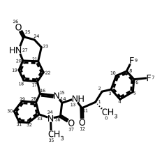 C[C@@H](Cc1ccc(F)c(F)c1)C(=O)NC1N=C(c2ccc3c(c2)CCC(=O)N3)c2ccccc2N(C)C1=O